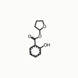 O=C(OC1CCCO1)c1ccccc1O